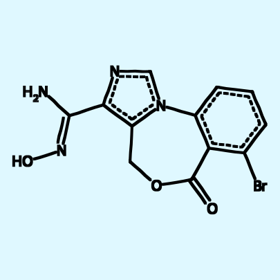 NC(=NO)c1ncn2c1COC(=O)c1c(Br)cccc1-2